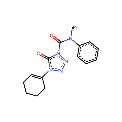 CC(C)N(C(=O)n1nnn(C2=CCCCC2)c1=O)c1ccccc1